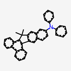 CC1(C)c2cc3cc(N(c4ccccc4)c4ccccc4)ccc3cc2-c2c1c1ccccc1c1ccccc21